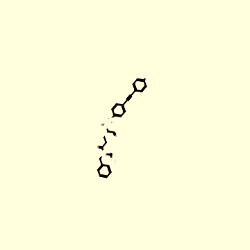 Cc1ccc(C#Cc2ccc(S(=O)(=O)N(O)[C@@H]([C]=O)CCC(=O)N(Cc3ccccc3)C(N)=O)cc2)cc1